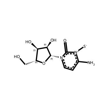 Nc1ccn([C@@H]2O[C@H](CO)[C@@H](O)[C@H]2O)c(=O)[n+]1[S-]